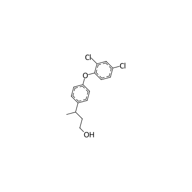 CC(CCO)c1ccc(Oc2ccc(Cl)cc2Cl)cc1